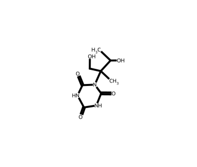 CC(O)C(C)(CO)n1c(=O)[nH]c(=O)[nH]c1=O